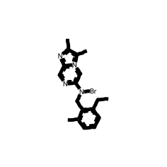 CCc1cccc(C)c1CN(Br)c1cn2c(C)c(C)nc2cn1